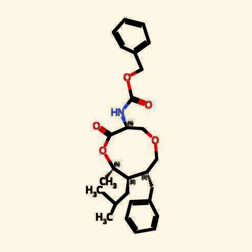 CC(C)C[C@@H]1[C@@H](Cc2ccccc2)COC[C@H](NC(=O)OCc2ccccc2)C(=O)O[C@H]1C